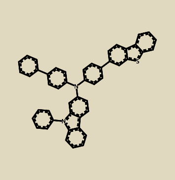 c1ccc(-c2ccc(N(c3ccc(-c4ccc5c(c4)sc4ccccc45)cc3)c3ccc4c5ccccc5n(-c5ccccc5)c4c3)cc2)cc1